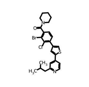 CC(C)Cc1cc(-c2cc(-c3ccc(C(=O)N4CCCCC4)c(Br)c3Cl)cs2)ccn1